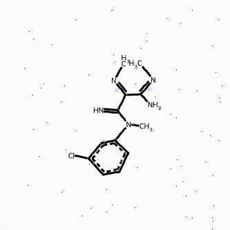 C/N=C(C(=N)N(C)c1cccc(Cl)c1)\C(N)=N/C